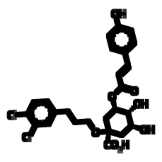 O=C(C=Cc1ccc(O)cc1)O[C@@H]1C[C@](OCCCc2ccc(Cl)c(Cl)c2)(C(=O)O)C[C@H](O)[C@H]1O